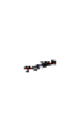 C=CC(=O)OCCCCOc1ccc(SC(=O)/C=C/c2ccc(OCCCCCCOC(=O)C(=C)C)cc2)cc1